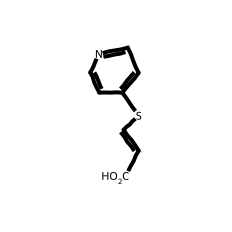 O=C(O)C=CSc1ccncc1